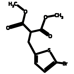 COC(=O)C(Cc1ccc(Br)s1)C(=O)OC